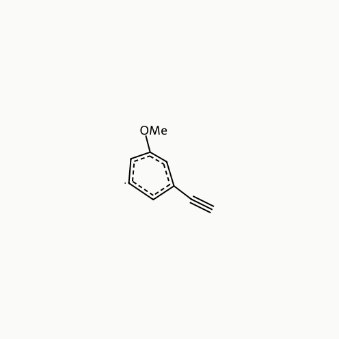 C#Cc1c[c]cc(OC)c1